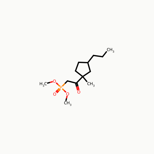 CCCC1CCC(C)(C(=O)CP(=O)(OC)OC)C1